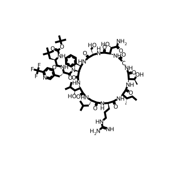 CC[C@H](C)[C@@H]1NC(=O)[C@@H](CCCNC(=N)N)NC(=O)[C@H](CC(C)C)NC(=O)[C@H]([C@H](O)C(C)C)NC(=O)[C@@H](NC(=O)[C@H](Cc2ccc(C(F)(F)F)nc2)NC(=O)[C@@H](CC(C)(C)C)NC(=O)OC(C)(C)C)[C@@H](c2ccccc2)NC(=O)[C@H](CO)NC(=O)[C@H]([C@H](O)C(N)=O)NC(=O)CNC(=O)[C@H]([C@H](C)O)NC1=O